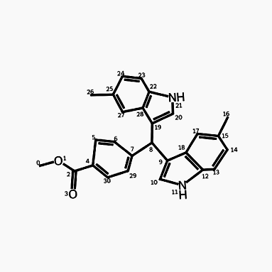 COC(=O)c1ccc(C(c2c[nH]c3ccc(C)cc23)c2c[nH]c3ccc(C)cc23)cc1